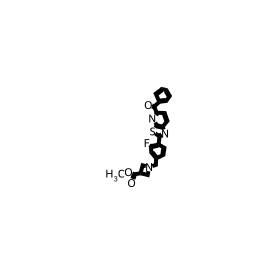 COC(=O)C1CN(Cc2ccc(-c3nc4ccc(C(=O)c5ccccc5)nc4s3)c(F)c2)C1